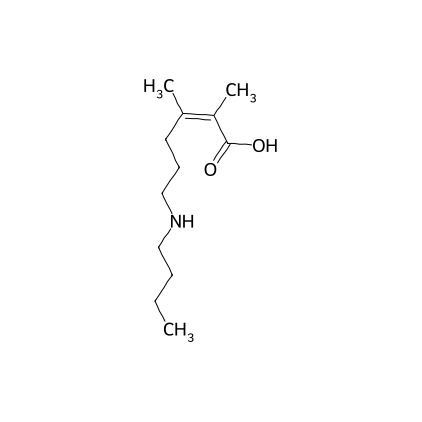 CCCCNCCCC(C)=C(C)C(=O)O